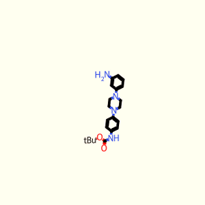 CC(C)(C)OC(=O)Nc1ccc(N2CCN(c3cccc(N)c3)CC2)cc1